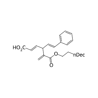 C=C(C(=O)OCCCCCCCCCCCC)C(C=CC(=O)O)C=Cc1ccccc1